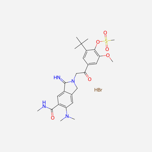 Br.CNC(=O)c1cc2c(cc1N(C)C)CN(CC(=O)c1cc(OC)c(OS(C)(=O)=O)c(C(C)(C)C)c1)C2=N